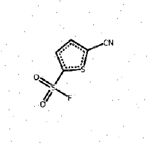 N#Cc1ccc(S(=O)(=O)F)s1